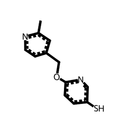 Cc1cc(COc2ccc(S)cn2)ccn1